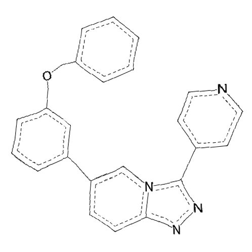 c1ccc(Oc2cccc(-c3ccc4nnc(-c5ccncc5)n4c3)c2)cc1